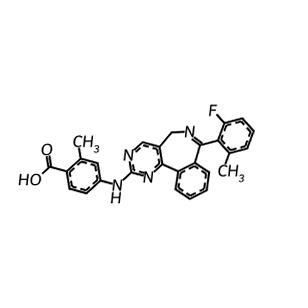 Cc1cc(Nc2ncc3c(n2)-c2ccccc2C(c2c(C)cccc2F)=NC3)ccc1C(=O)O